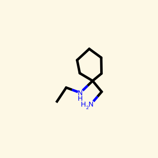 CCNC1(CN)CCCCC1